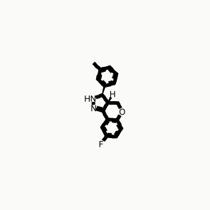 Cc1cccc([C@@H]2NN=C3c4cc(F)ccc4OC[C@H]32)c1